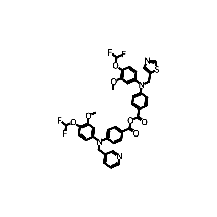 COc1cc(N(Cc2cccnc2)c2ccc(C(=O)OC(=O)c3ccc(N(Cc4cncs4)c4ccc(OC(F)F)c(OC)c4)cc3)cc2)ccc1OC(F)F